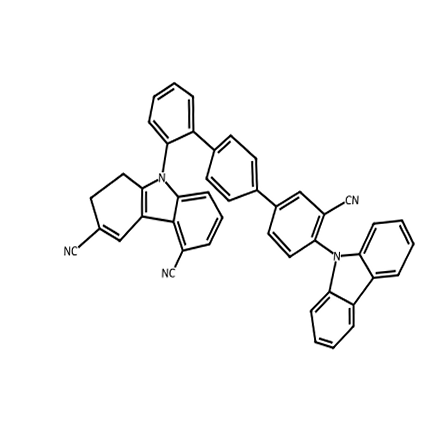 N#CC1=Cc2c(n(-c3ccccc3-c3ccc(-c4ccc(-n5c6ccccc6c6ccccc65)c(C#N)c4)cc3)c3cccc(C#N)c23)CC1